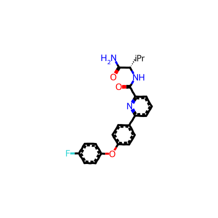 CC(C)[C@H](NC(=O)c1cccc(-c2ccc(Oc3ccc(F)cc3)cc2)n1)C(N)=O